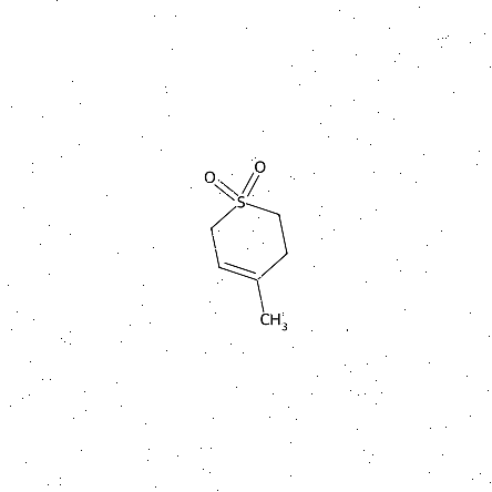 CC1=CCS(=O)(=O)CC1